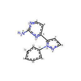 Nc1nccc(-c2ccnn2-c2ccccc2)n1